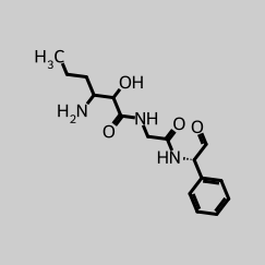 CCCC(N)C(O)C(=O)NCC(=O)N[C@H](C=O)c1ccccc1